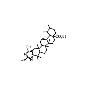 CCOC(=O)C12CCC(C)C(C)C1C1=CCC3C4(C)Cc5c(O)nc(S)nc5C(C)(C)C4CCC3(C)C1(C)CC2